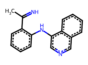 CC(=N)c1ccccc1Nc1cncc2ccccc12